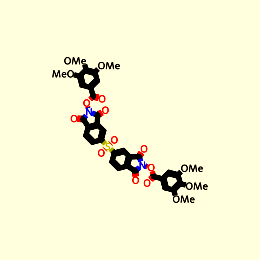 COc1cc(C(=O)ON2C(=O)c3ccc(S(=O)(=O)c4ccc5c(c4)C(=O)N(OC(=O)c4cc(OC)c(OC)c(OC)c4)C5=O)cc3C2=O)cc(OC)c1OC